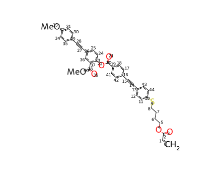 C=CC(=O)OCCCCSc1ccc(C#Cc2ccc(C(=O)Oc3ccc(C#Cc4ccc(OC)cc4)cc3C(=O)OC)cc2)cc1